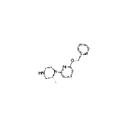 C[C@@H]1CNCCN1c1cccc(OCc2ccccc2)n1